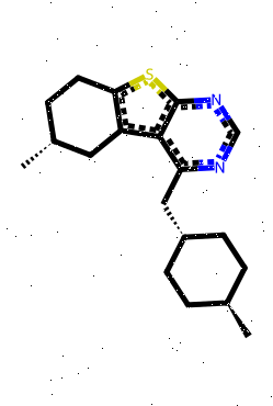 C[C@@H]1CCc2sc3ncnc(C[C@H]4CC[C@H](C)CC4)c3c2C1